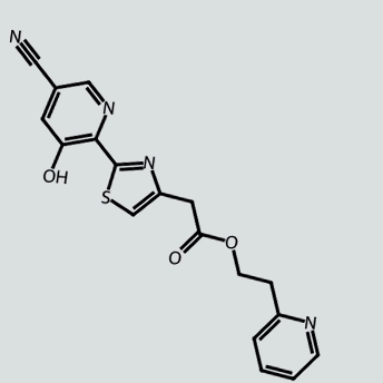 N#Cc1cnc(-c2nc(CC(=O)OCCc3ccccn3)cs2)c(O)c1